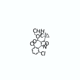 CCOC(=O)c1c(-c2c(Cl)cccc2Cl)noc1C1(C)CC1